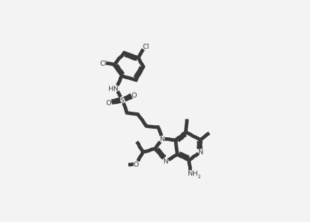 COC(C)c1nc2c(N)nc(C)c(C)c2n1CCCCS(=O)(=O)Nc1ccc(Cl)cc1Cl